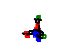 CCOC(=O)C1CCC(CNC(=O)c2[nH]c3c(-c4c(C)nn(C)c4C)c(Cl)ccc3c2CCCOc2cc(C)c(Cl)c(C)c2)CC1